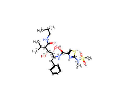 CC(C)CNC(=O)[C@H](C(C)C)[C@@H](O)[C@H](O)[C@H](Cc1ccccc1)NC(=O)c1csc(N(C)S(C)(=O)=O)n1